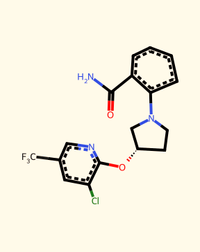 NC(=O)c1ccccc1N1CC[C@H](Oc2ncc(C(F)(F)F)cc2Cl)C1